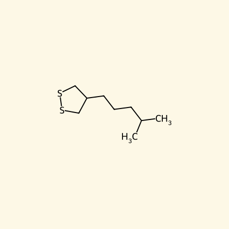 CC(C)CCCC1CSSC1